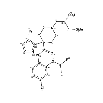 COC[C@H](CN1CCC(C(=O)Nc2ccc(Cl)cc2OC(F)F)(n2nccc2C(C)C)CC1)C(=O)O